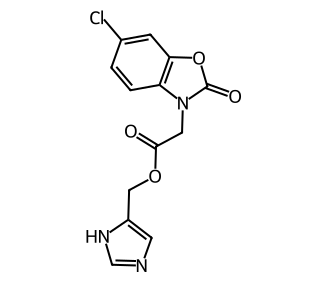 O=C(Cn1c(=O)oc2cc(Cl)ccc21)OCc1cnc[nH]1